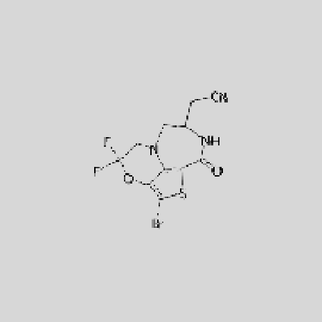 N#CCC1CN2CC(F)(F)Oc3c(Br)sc(c32)C(=O)N1